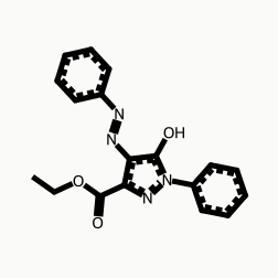 CCOC(=O)c1nn(-c2ccccc2)c(O)c1N=Nc1ccccc1